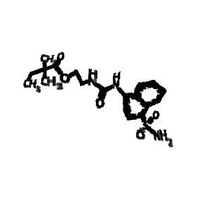 CCC(C)(C)C(=O)OCCNC(=O)Nc1ccc(S(N)(=O)=O)c2ccccc12